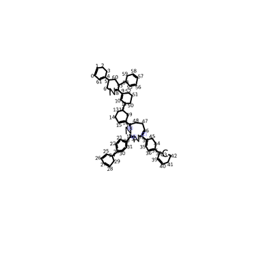 C1=CCCC(C2CN=C(C3=CC(C4CCC=C(/C5=N/C(c6ccc(C7C=CC=CC7)cc6)=N\C(C6=CC=C(C7C=CCCC7)CC6)=C/CC5)C4)CCC3)C(C3C=CC=CC3)C2)=C1